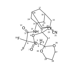 CC1(CC(OS(=O)(=O)C(F)(F)C(=O)NC23CC4CC(CC(C#N)(C4)C2)C3)C(F)(F)F)OCCCO1